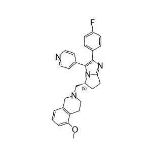 COc1cccc2c1CCN(C[C@@H]1CCc3nc(-c4ccc(F)cc4)c(-c4ccncc4)n31)C2